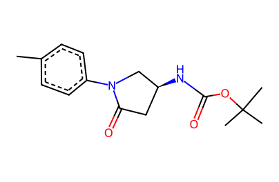 Cc1ccc(N2C[C@@H](NC(=O)OC(C)(C)C)CC2=O)cc1